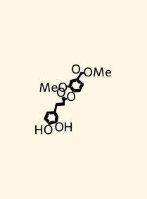 COC(=O)c1ccc(OC(=O)C=Cc2ccc(O)c(O)c2)c(OC)c1